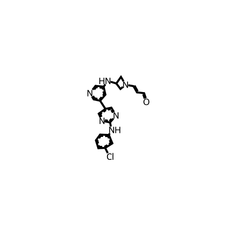 O=CC=CN1CC(Nc2cncc(-c3cnc(Nc4cccc(Cl)c4)nc3)c2)C1